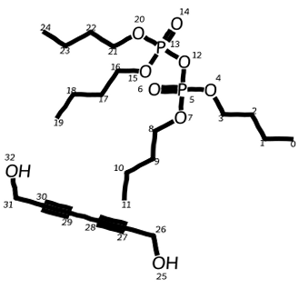 CCCCOP(=O)(OCCCC)OP(=O)(OCCCC)OCCCC.OCC#CC#CCO